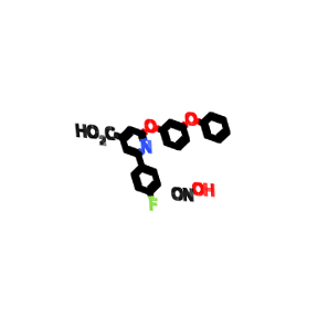 O=C(O)c1cc(Oc2cccc(Oc3ccccc3)c2)nc(-c2ccc(F)cc2)c1.O=NO